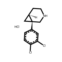 Cl.Clc1ccc([C@]23CNCC[C@@H]2C3)cc1Cl